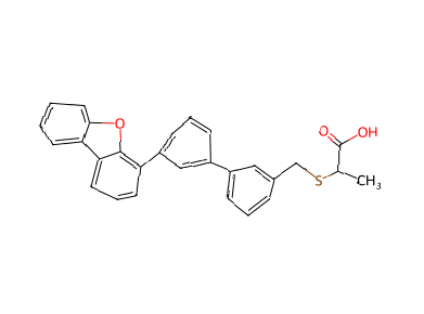 CC(SCc1cccc(-c2cccc(-c3cccc4c3oc3ccccc34)c2)c1)C(=O)O